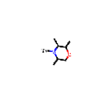 CC1OCC(C)N(C(C)C)C1C